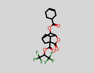 O=C(OC1C2CC3C1OC(=O)C3(C(=O)OC(C(F)(F)F)C(F)(F)F)C2)C1CC=CCC1